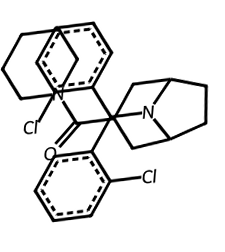 O=C(C1CC2CCC(C1)N2C(c1ccccc1Cl)c1ccccc1Cl)N1CCCCC1